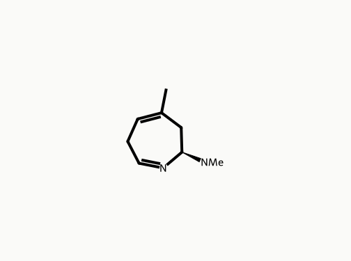 CN[C@@H]1CC(C)=CCC=N1